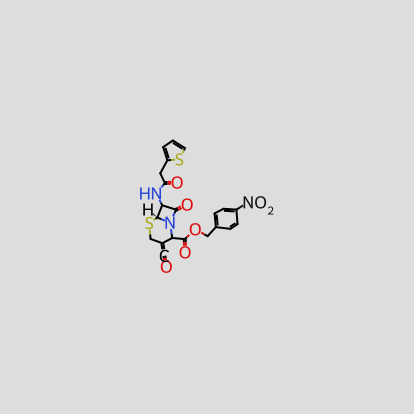 O=C=C1CS[C@H]2C(NC(=O)Cc3cccs3)C(=O)N2C1C(=O)OCc1ccc([N+](=O)[O-])cc1